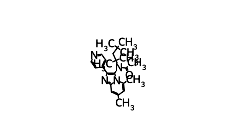 CC(=O)N(c1c(-c2ccncc2)nc2cc(C)cc(C)n12)C(C)(C)CC(C)(C)C